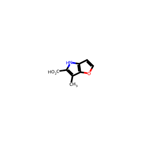 Cc1c(C(=O)O)[nH]c2ccoc12